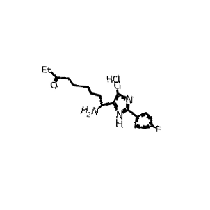 CCC(=O)CCCCCC(N)c1[nH]c(-c2ccc(F)cc2)nc1Cl.Cl